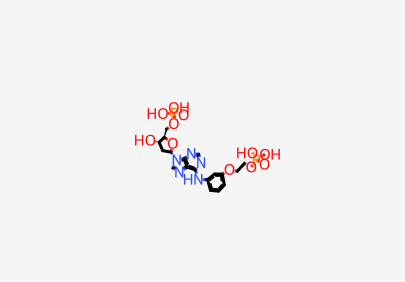 O=P(O)(O)OCCOc1cccc(Nc2ncnc3c2ncn3[C@H]2C[C@H](O)[C@@H](COP(=O)(O)O)O2)c1